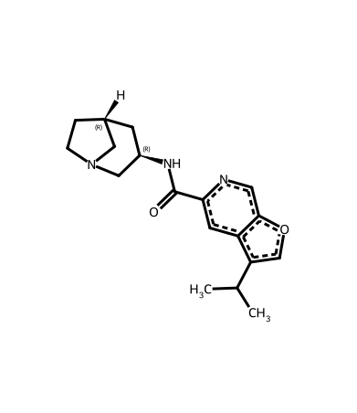 CC(C)c1coc2cnc(C(=O)N[C@@H]3C[C@H]4CCN(C4)C3)cc12